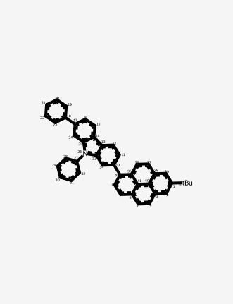 CC(C)(C)c1cc2ccc3ccc(-c4ccc5c6ccc(-c7ccccc7)cc6n(-c6ccccc6)c5c4)c4ccc(c1)c2c34